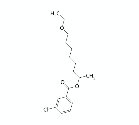 CCOCCCCCCC(C)OC(=O)c1cccc(Cl)c1